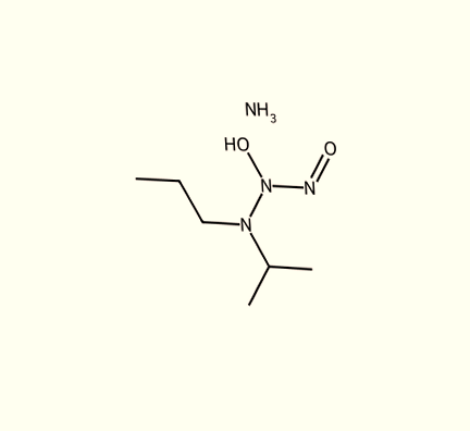 CCCN(C(C)C)N(O)N=O.N